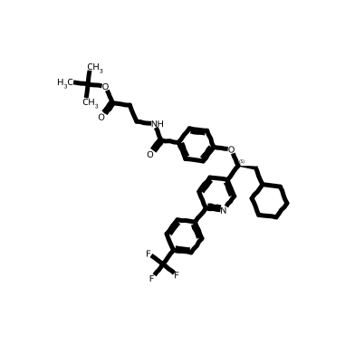 CC(C)(C)OC(=O)CCNC(=O)c1ccc(O[C@@H](CC2CCCCC2)c2ccc(-c3ccc(C(F)(F)F)cc3)nc2)cc1